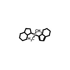 C[Si](C)(C1=CC=C2CCCCC21)C1CCC2CCCCC21